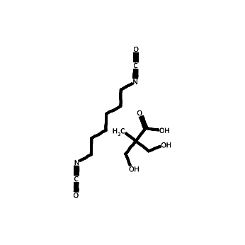 CC(CO)(CO)C(=O)O.O=C=NCCCCCCN=C=O